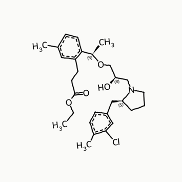 CCOC(=O)CCc1cc(C)ccc1[C@@H](C)OC[C@H](O)CN1CCC[C@H]1Cc1ccc(C)c(Cl)c1